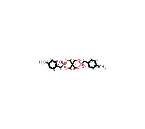 Cc1ccc(CP2(=O)OCC3(CO2)COP(=O)(Cc2ccc(C)cc2)OC3)cc1